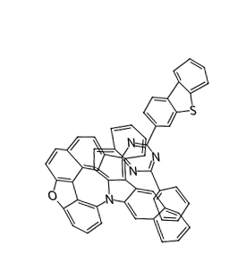 c1ccc(-c2nc(-c3ccc4c(c3)sc3ccccc34)nc(-c3ccc4ccc5oc6cccc(-n7c8cc9ccccc9cc8c8c9ccccc9ccc87)c6c5c4c3)n2)cc1